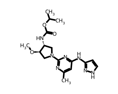 CO[C@@H]1CN(c2nc(C)cc(Nc3cc[nH]n3)n2)C[C@H]1NC(=O)OC(C)C